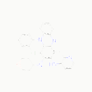 Cc1ncccc1Nc1cc2nc3ccccc3n(-c3ccccc3Cl)c-2c/c1=N\C1CCOCC1